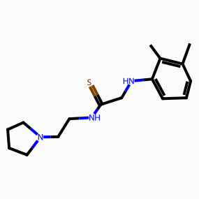 Cc1cccc(NCC(=S)NCCN2CCCC2)c1C